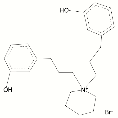 Oc1cccc(CCC[N+]2(CCCc3cccc(O)c3)CCCCC2)c1.[Br-]